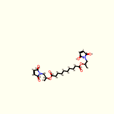 CC(CN1C(=O)C=CC1=O)OC(=O)CCCCCCCCC(=O)OC(C)CN1C(=O)C=CC1=O